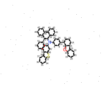 c1ccc(-c2c(N(c3ccc(-c4cccc5c4oc4ccccc45)cc3)c3ccc4c(c3)sc3ccccc34)c3ccccc3c3ccccc23)cc1